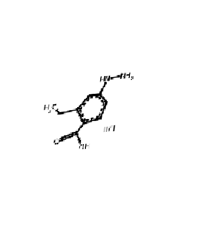 CCc1cc(NN)ccc1C(=O)O.Cl